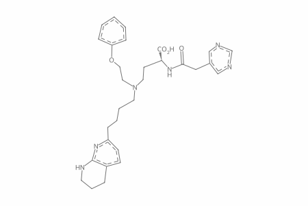 O=C(Cc1cncnc1)N[C@@H](CCN(CCCCc1ccc2c(n1)NCCC2)CCOc1ccccc1)C(=O)O